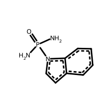 NP(N)(=O)n1ccc2ccccc21